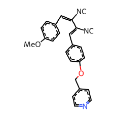 [C-]#[N+]C(=Cc1ccc(OC)cc1)C(=Cc1ccc(OCc2ccncc2)cc1)[N+]#[C-]